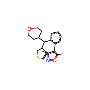 Cc1noc(C)c1-c1ccccc1C(C1C=CSC1)C1CCOCC1